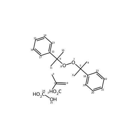 C=C(C)C(=O)O.CC(C)(OOC(C)(C)c1ccccc1)c1ccccc1.O=C(O)O